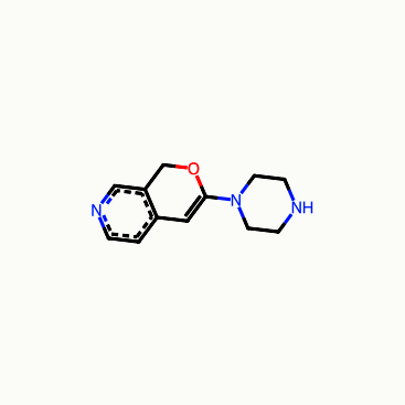 C1=C(N2CCNCC2)OCc2cnccc21